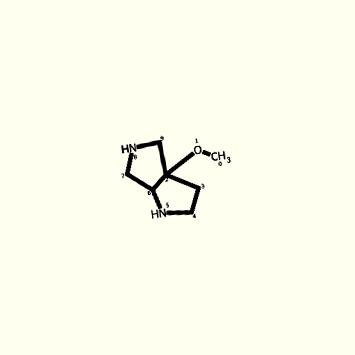 COC12CCNC1CNC2